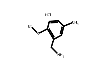 CCSc1ccc(C)cc1CN.Cl